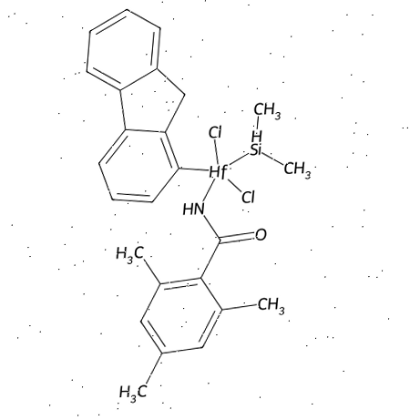 Cc1cc(C)c(C(=O)[NH][Hf]([Cl])([Cl])([c]2cccc3c2Cc2ccccc2-3)[SiH](C)C)c(C)c1